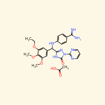 CC(=O)O.CCOc1cc(C(Nc2ccc(C(=N)N)cc2)c2nn(-c3ncccn3)c(=O)[nH]2)cc(OC)c1OC